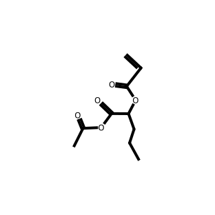 C=CC(=O)OC(CCC)C(=O)OC(C)=O